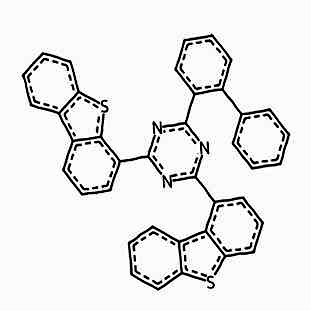 c1ccc(-c2ccccc2-c2nc(-c3cccc4c3sc3ccccc34)nc(-c3cccc4sc5ccccc5c34)n2)cc1